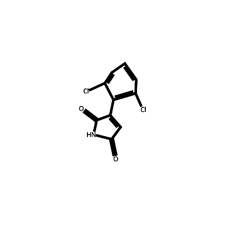 O=C1C=C(c2c(Cl)cccc2Cl)C(=O)N1